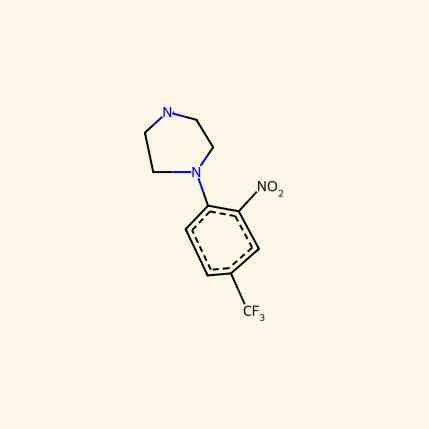 O=[N+]([O-])c1cc(C(F)(F)F)ccc1N1CC[N]CC1